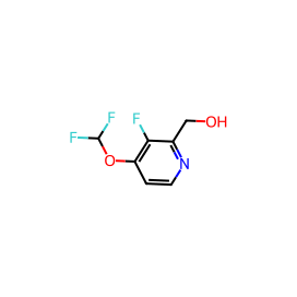 OCc1nccc(OC(F)F)c1F